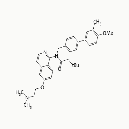 COc1ccc(-c2ccc(CN(C(=O)CC(C)(C)C)c3nccc4cc(OCCN(C)C)ccc34)cc2)cc1C